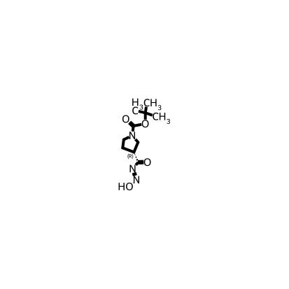 CC(C)(C)OC(=O)N1CC[C@@H](C(=O)N=NO)C1